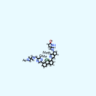 COc1nc(-c2cccc(-c3cccc(-c4cc5c(c(OC)n4)C(N4CC6(CCC(=O)N6)C4)CC5)c3Cl)c2C)cnc1CN1CC2(C1)CN(C(C)=O)C2